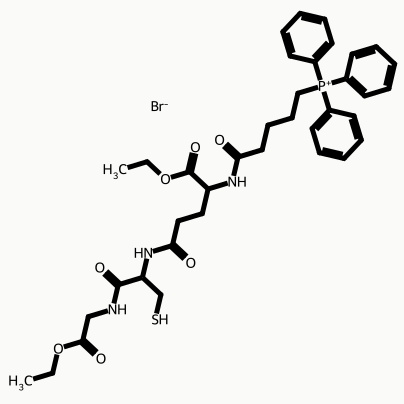 CCOC(=O)CNC(=O)C(CS)NC(=O)CCC(NC(=O)CCCC[P+](c1ccccc1)(c1ccccc1)c1ccccc1)C(=O)OCC.[Br-]